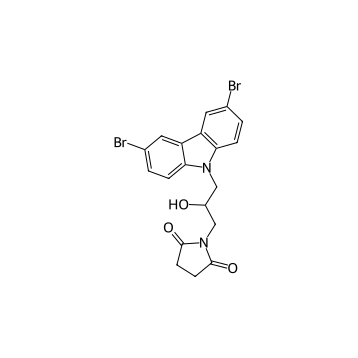 O=C1CCC(=O)N1CC(O)Cn1c2ccc(Br)cc2c2cc(Br)ccc21